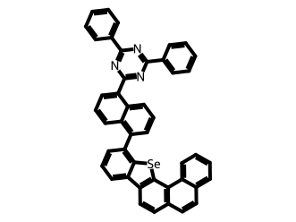 c1ccc(-c2nc(-c3ccccc3)nc(-c3cccc4c(-c5cccc6c5[se]c5c6ccc6ccc7ccccc7c65)cccc34)n2)cc1